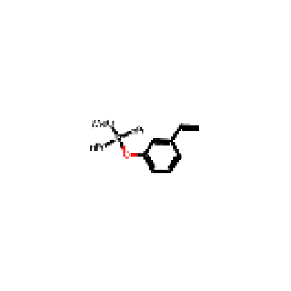 C=Cc1cccc(O[Si](CCC)(CCC)OC)c1